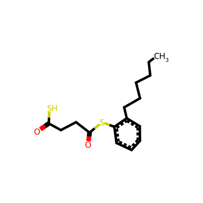 CCCCCCc1ccccc1SC(=O)CCC(=O)S